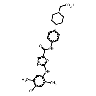 Cc1cc(Nc2nnc(C(=O)Nc3ccc([C@H]4CC[C@H](CC(=O)O)CC4)cc3)o2)c(C)cc1Cl